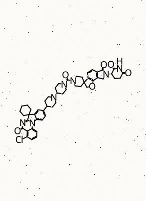 O=C1CC[C@H](N2Cc3c(ccc4c3OCC43CCN(C(=O)N4CCC(N5CCC(c6ccc7c(c6)C6(CCCCC6)c6nc(=O)c8c(Cl)cccc8n6-7)CC5)CC4)CC3)C2=O)C(=O)N1